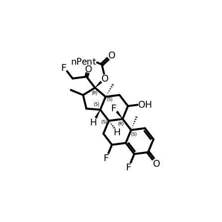 CCCCCC(=O)O[C@]1(C(=O)CF)C(C)C[C@H]2[C@@H]3CC(F)C4=C(F)C(=O)C=C[C@]4(C)[C@@]3(F)C(O)C[C@@]21C